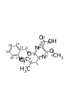 COc1nc(CC(C)C)c(OCc2ccccc2Cl)nc1C(=O)O